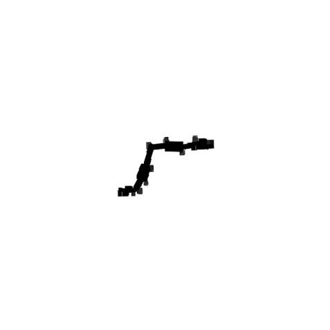 CCCC#CCC#CCCCC